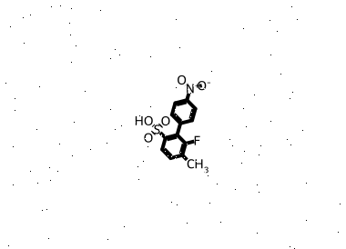 Cc1ccc(S(=O)(=O)O)c(-c2ccc([N+](=O)[O-])cc2)c1F